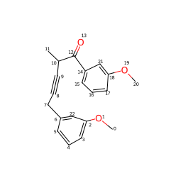 COc1cccc(CC#CC(C)C(=O)c2cccc(OC)c2)c1